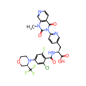 Cn1c(=O)n(-c2ccc(C[C@H](NC(=O)c3c(F)cc(N4CCOC[C@@H]4C(F)(F)F)cc3Cl)C(=O)O)cn2)c(=O)c2ccncc21